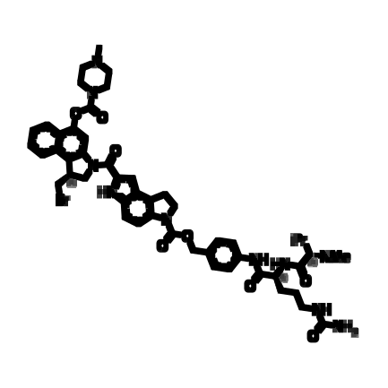 CN[C@H](C(=O)N[C@@H](CCCNC(N)=O)C(=O)Nc1ccc(COC(=O)N2CCc3c2ccc2[nH]c(C(=O)N4C[C@@H](CBr)c5c4cc(OC(=O)N4CCN(C)CC4)c4ccccc54)cc32)cc1)C(C)C